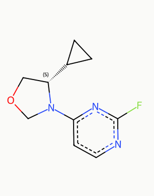 Fc1nccc(N2COC[C@@H]2C2CC2)n1